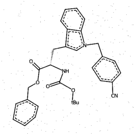 CC(C)(C)OC(=O)N[C@@H](Cc1cn(Cc2ccc(C#N)cc2)c2ccccc12)C(=O)OCc1ccccc1